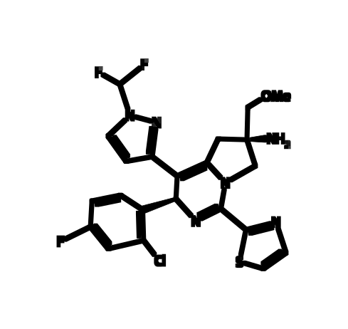 COC[C@@]1(N)CC2=C(c3ccn(C(F)F)n3)[C@H](c3ccc(F)cc3Cl)N=C(c3nccs3)N2C1